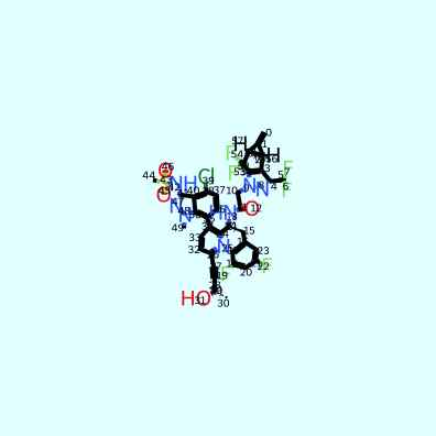 C=C1[C@@H]2c3c(C(F)F)nn(CC(=O)N[C@@H](Cc4cc(F)cc(F)c4)c4nc(C#C[C@H](C)O)ccc4-c4ccc(Cl)c5c(NS(C)(=O)=O)nn(C)c45)c3C(F)(F)[C@H]12